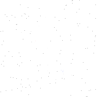 Cc1cc2c(cc1B1OC(C)(C)C(C)(C)O1)c(I)cn2P